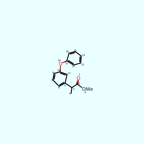 COC(=O)C(C)c1cccc(Oc2ccccc2)c1